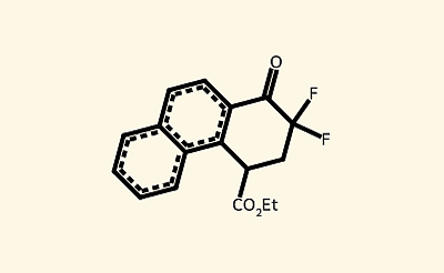 CCOC(=O)C1CC(F)(F)C(=O)c2ccc3ccccc3c21